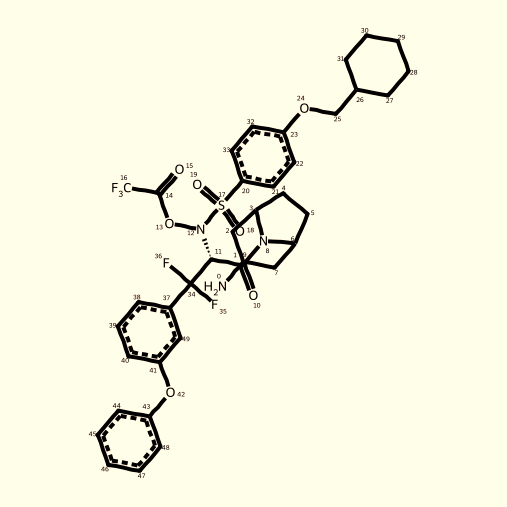 NC1CC2CCC(C1)N2C(=O)[C@@H](N(OC(=O)C(F)(F)F)S(=O)(=O)c1ccc(OCC2CCCCC2)cc1)C(F)(F)c1cccc(Oc2ccccc2)c1